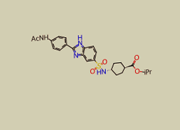 CC(=O)Nc1ccc(-c2nc3cc(S(=O)(=O)N[C@H]4CC[C@H](C(=O)OC(C)C)CC4)ccc3[nH]2)cc1